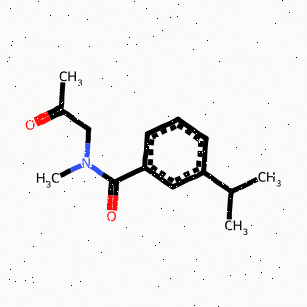 CC(=O)CN(C)C(=O)c1cccc(C(C)C)c1